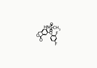 CS(=O)(=O)Nc1cc2c(cc1Oc1ccc(F)cc1F)C(=O)OC2